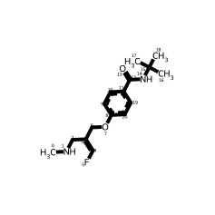 CNCC(=CF)COc1ccc(C(=O)NC(C)(C)C)cc1